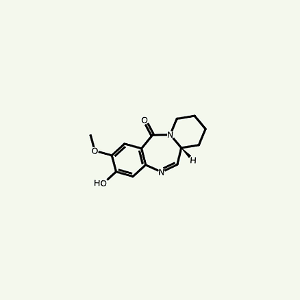 COc1cc2c(cc1O)N=C[C@H]1CCCCN1C2=O